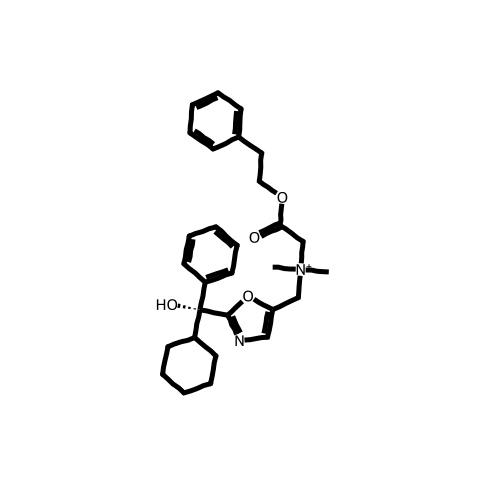 C[N+](C)(CC(=O)OCCc1ccccc1)Cc1cnc([C@](O)(c2ccccc2)C2CCCCC2)o1